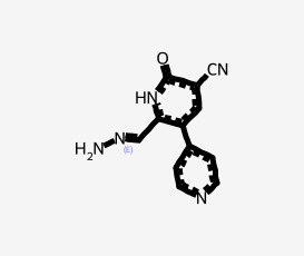 N#Cc1cc(-c2ccncc2)c(/C=N/N)[nH]c1=O